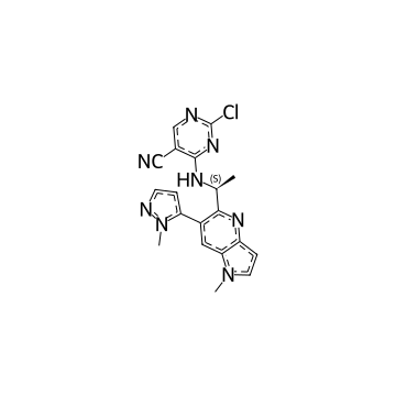 C[C@H](Nc1nc(Cl)ncc1C#N)c1nc2ccn(C)c2cc1-c1ccnn1C